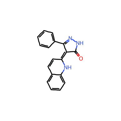 O=C1NN=C(c2ccccc2)/C1=C1\C=Cc2ccccc2N1